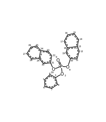 O=P(Oc1ccccc1)(Oc1ccc2ccccc2c1)Oc1ccc2ccccc2c1